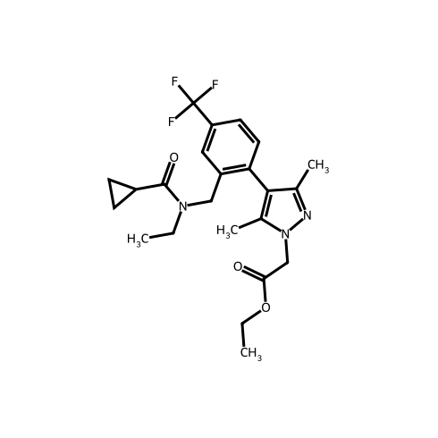 CCOC(=O)Cn1nc(C)c(-c2ccc(C(F)(F)F)cc2CN(CC)C(=O)C2CC2)c1C